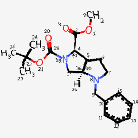 COC(=O)[C@H]1C2CCN(Cc3ccccc3)[C@H]2CN1C(=O)OC(C)(C)C